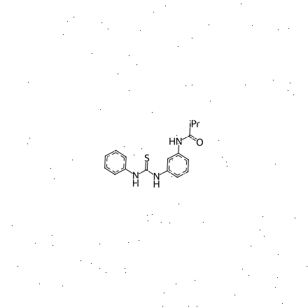 CC(C)C(=O)Nc1cccc(NC(=S)Nc2ccccc2)c1